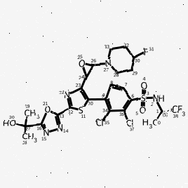 C[C@H](NS(=O)(=O)c1ccc(-c2sc(-c3nnc(C(C)(C)O)o3)nc2C2OC2N2CCC(F)CC2)c(Cl)c1Cl)C(F)(F)F